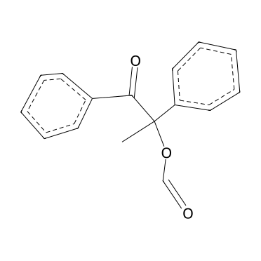 CC(OC=O)(C(=O)c1ccccc1)c1ccccc1